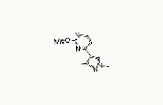 COc1nccc(-c2cn(C)nc2C)n1